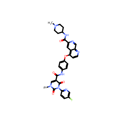 CC(C)n1cc(C(=O)Nc2ccc(Oc3ccnc4cnc(C(=O)NC5CCN(C)CC5)cc34)cc2)c(=O)n(-c2ccc(F)cn2)c1=O